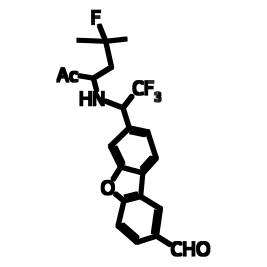 CC(=O)C(CC(C)(C)F)NC(c1ccc2c(c1)oc1ccc(C=O)cc12)C(F)(F)F